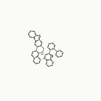 Cc1c([C@H]2Cc3cc4sc5ccccc5c4cc3-c3ccc4ccccc4c32)c(-c2ccccc2-c2ccccc2)nc2ccccc12